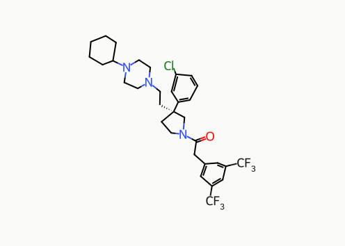 O=C(Cc1cc(C(F)(F)F)cc(C(F)(F)F)c1)N1CC[C@@](CCN2CCN(C3CCCCC3)CC2)(c2cccc(Cl)c2)C1